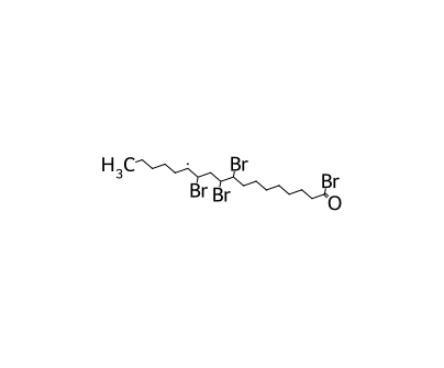 CCCCC[CH]C(Br)CC(Br)C(Br)CCCCCCCC(=O)Br